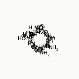 CCCC(=O)N[C@@H](CO)C(=O)N[C@H]1CCNC(=O)[C@H]([C@@H](C)O)NC(=O)[C@H](CCN)NC(=O)[C@H](CCN)NC(=O)[C@H](CC(C)C)NC(=O)[C@@H](Cc2ccccc2)NC(=O)[C@H](CCN)NC1=O